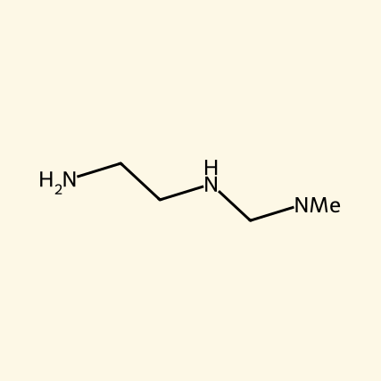 CNCNCCN